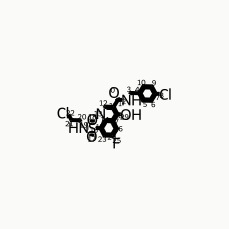 O=C(NCc1ccc(Cl)cc1)c1cnc2c(S(=O)(=O)NCCCl)cc(F)cc2c1O